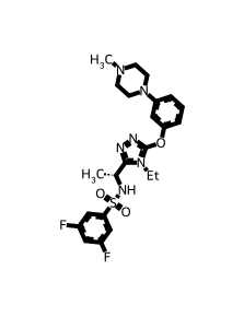 CCn1c(Oc2cccc(N3CCN(C)CC3)c2)nnc1[C@@H](C)NS(=O)(=O)c1cc(F)cc(F)c1